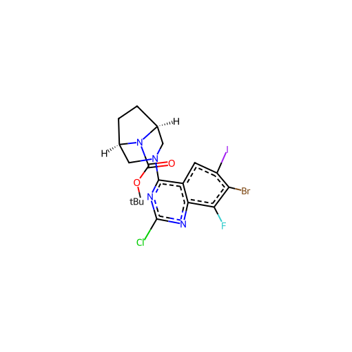 CC(C)(C)OC(=O)N1[C@@H]2CC[C@H]1CN(c1nc(Cl)nc3c(F)c(Br)c(I)cc13)C2